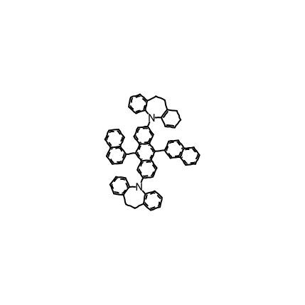 C1=CC2=C(CC1)CCc1ccccc1N2c1ccc2c(-c3cccc4ccccc34)c3cc(N4c5ccccc5CCc5ccccc54)ccc3c(-c3ccc4ccccc4c3)c2c1